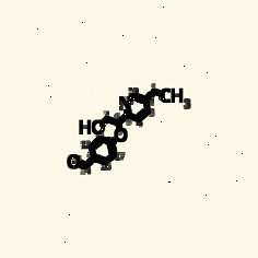 CCc1ccc(C(CO)Oc2ccc(C=O)cc2)nc1